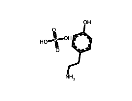 NCCc1ccc(O)cc1.O=S(=O)(O)O